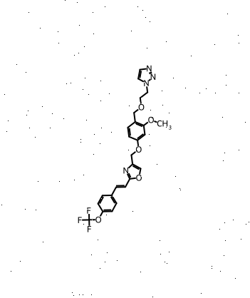 COc1cc(OCc2coc(C=Cc3ccc(OC(F)(F)F)cc3)n2)ccc1COCCn1ccnn1